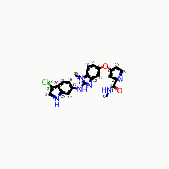 CNC(=O)c1cc(Oc2ccc3c(c2)nc(Nc2ccc4c(Cl)c[nH]c4c2)n3C)ccn1